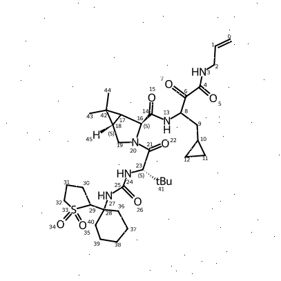 C=CCNC(=O)C(=O)C(CC1CC1)NC(=O)[C@@H]1C2[C@H](CN1C(=O)[C@@H](NC(=O)NC1(C3CCCS3(=O)=O)CCCCC1)C(C)(C)C)C2(C)C